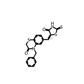 O=C1NC(=S)S/C1=C/c1ccc2c(c1)N(Cc1ccccc1)C(=O)CS2